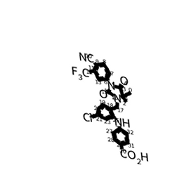 CC1(C)C(=O)N(c2ccc(C#N)c(C(F)(F)F)c2)C(=O)N1Cc1ccc(Cl)cc1Nc1ccc(C(=O)O)cc1